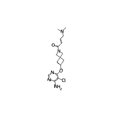 CN(C)CC=CC(=O)N1CC2(CC(Oc3ncnc(N)c3Cl)C2)C1